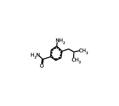 CC(C)Cc1ccc(C(N)=O)cc1N